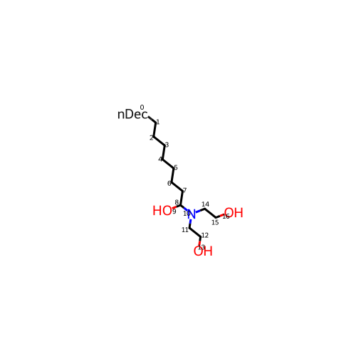 CCCCCCCCCCCCCCCCCC(O)N(CCO)CCO